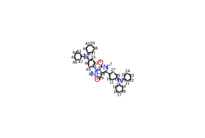 CN/C(=C1/C(=O)N(C)C(c2ccc(N(c3ccccc3)c3ccccc3)cc2)=C1C=O)c1ccc(N(c2ccccc2)c2ccccc2)cc1